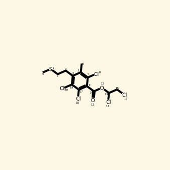 CSCCc1c(C)c(Cl)c(C(=O)OC(Cl)CCl)c(Cl)c1Cl